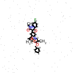 C=C(COCc1ccccc1)CN(c1cc2oc(-c3ccc(F)cc3)c(C(=O)NCC)c2cc1C1CC1)S(C)(=O)=O